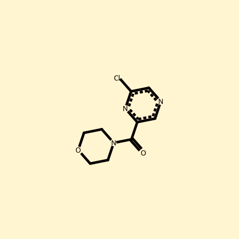 O=C(c1cncc(Cl)n1)N1CCOCC1